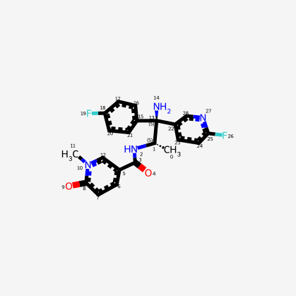 C[C@H](NC(=O)c1ccc(=O)n(C)c1)[C@](N)(c1ccc(F)cc1)c1ccc(F)nc1